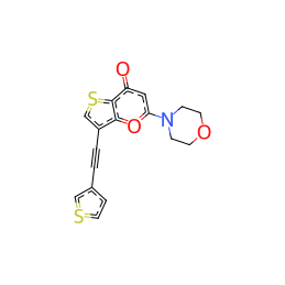 O=c1cc(N2CCOCC2)oc2c(C#Cc3ccsc3)csc12